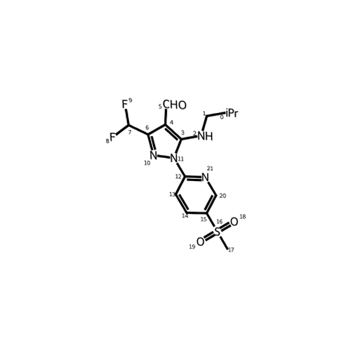 CC(C)CNc1c(C=O)c(C(F)F)nn1-c1ccc(S(C)(=O)=O)cn1